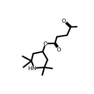 CC(=O)CCC(=O)OC1CC(C)(C)NC(C)(C)C1